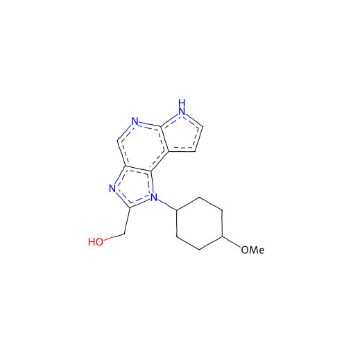 COC1CCC(n2c(CO)nc3cnc4[nH]ccc4c32)CC1